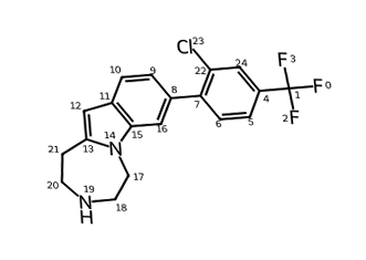 FC(F)(F)c1ccc(-c2ccc3cc4n(c3c2)CCNCC4)c(Cl)c1